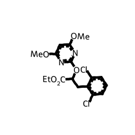 CCOC(=O)C(Cc1c(Cl)cccc1Cl)Oc1nc(OC)cc(OC)n1